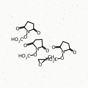 CC1CO1.O=C(O)ON1C(=O)CCC1=O.O=C(O)ON1C(=O)CCC1=O.O=C(O)ON1C(=O)CCC1=O